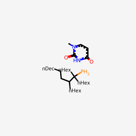 CCCCCCCCCCCCC(CCCCCC)C(P)(CCCCCC)CCCCCC.Cn1ccc(=O)[nH]c1=O